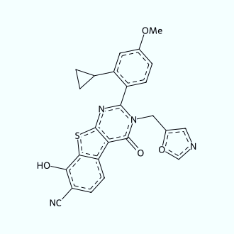 COc1ccc(-c2nc3sc4c(O)c(C#N)ccc4c3c(=O)n2Cc2cnco2)c(C2CC2)c1